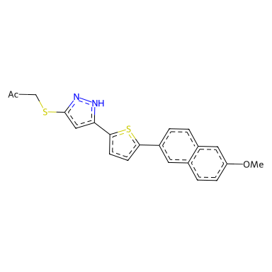 COc1ccc2cc(-c3ccc(-c4cc(SCC(C)=O)n[nH]4)s3)ccc2c1